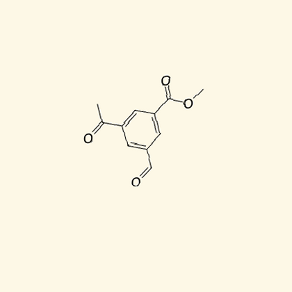 COC(=O)c1cc(C=O)cc(C(C)=O)c1